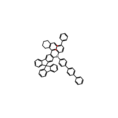 c1ccc(-c2ccc(-c3ccc(N(c4ccc(-c5ccccc5)cc4)c4cc5c(cc4-c4cccc6c4CCCC6)-c4ccccc4C54c5ccccc5-c5ccccc54)cc3)cc2)cc1